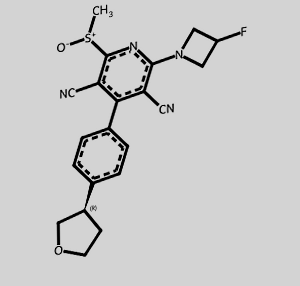 C[S+]([O-])c1nc(N2CC(F)C2)c(C#N)c(-c2ccc([C@H]3CCOC3)cc2)c1C#N